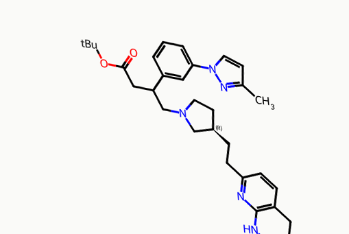 Cc1ccn(-c2cccc(C(CC(=O)OC(C)(C)C)CN3CC[C@@H](CCc4ccc5c(n4)NCCC5)C3)c2)n1